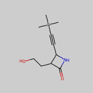 C[Si](C)(C)C#CC1NC(=O)C1CCO